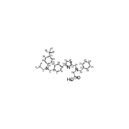 CC(C)CN(Cc1ccc(-c2csc(CN(CC(=O)O)Cc3ccccc3)n2)cc1)c1ccc(C(C)(C)C)cc1